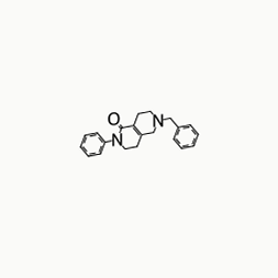 O=C1C2=C(CCN1c1ccccc1)CN(Cc1ccccc1)CC2